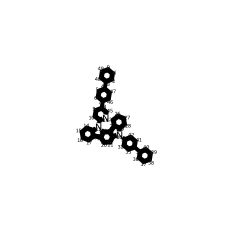 c1ccc(-c2ccc(-c3ccc(-n4c5ccccc5c5ccc6c(c7ccccc7n6-c6ccc(-c7ccccc7)cc6)c54)nc3)cc2)cc1